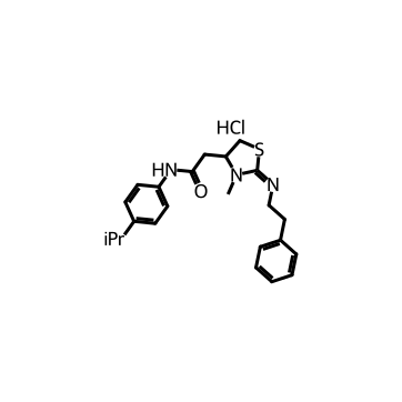 CC(C)c1ccc(NC(=O)CC2CSC(=NCCc3ccccc3)N2C)cc1.Cl